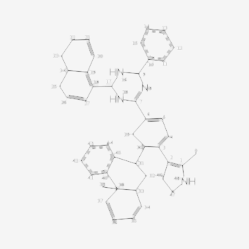 CC1=C(C2=CC=C(C3=NC(c4ccccc4)NC(C4=C5C=CCCC5CC=C4)N3)CC2C2CC3C=CC=CC3(C)c3ccccc32)CCN1